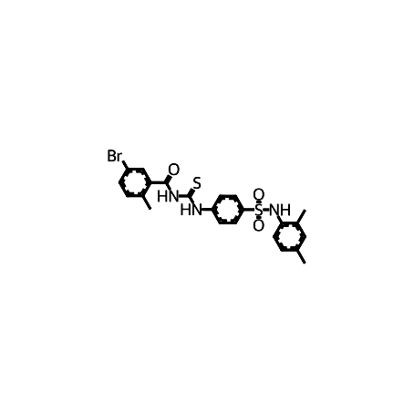 Cc1ccc(NS(=O)(=O)c2ccc(NC(=S)NC(=O)c3cc(Br)ccc3C)cc2)c(C)c1